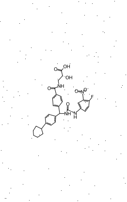 O=C(Nc1ccc(F)c([N+](=O)[O-])c1)NC(c1ccc(C(=O)NC[C@@H](O)C(=O)O)cc1)c1ccc(C2CCCCC2)cc1